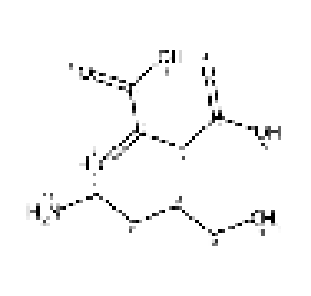 C=C(CC(=O)O)C(=O)O.CCCCCN